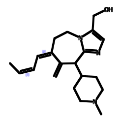 C=C1/C(=C\C=C/C)CCn2c(CO)cnc2C1C1CCN(C)CC1